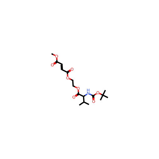 COC(=O)C=CC(=O)OCCOC(=O)C(NC(=O)OC(C)(C)C)C(C)C